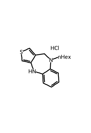 CCCCCCN1Cc2cscc2Nc2ccccc21.Cl